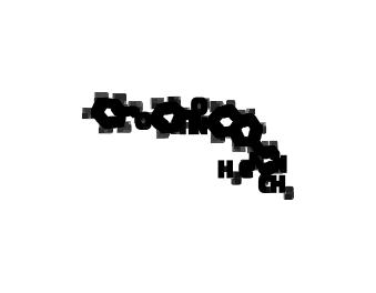 Cc1ncc(-c2ccc3ccc(NC(=O)c4ccc(OCc5ccccc5)cc4)cc3c2)n1C